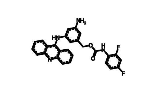 Nc1cc(COC(=O)Nc2ccc(F)cc2F)cc(Nc2c3ccccc3nc3ccccc23)c1